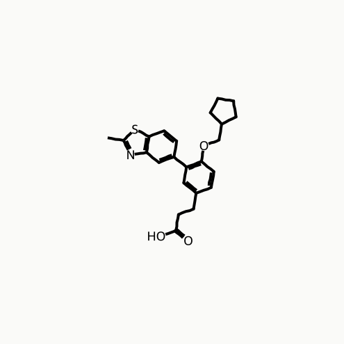 Cc1nc2cc(-c3cc(CCC(=O)O)ccc3OCC3CCCC3)ccc2s1